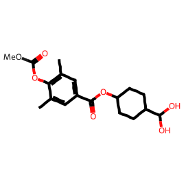 COC(=O)Oc1c(C)cc(C(=O)OC2CCC(C(O)O)CC2)cc1C